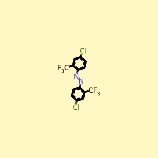 FC(F)(F)c1cc(Cl)ccc1N=Nc1ccc(Cl)cc1C(F)(F)F